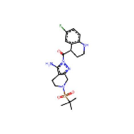 CC(C)(C)S(=O)(=O)N1CCc2c(nn(C(=O)C3CCNc4ccc(F)cc43)c2N)C1